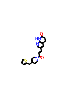 O=C1CCc2cc(C=CC(=O)N3CC=C(Cc4cccs4)CC3)cnc2N1